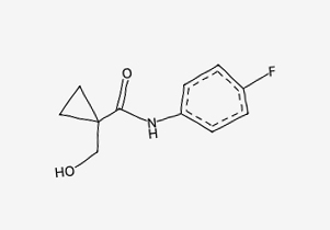 O=C(Nc1ccc(F)cc1)C1(CO)CC1